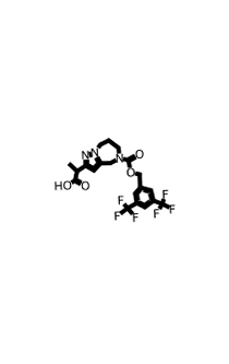 CC(C(=O)O)c1cc2n(n1)CCCN(C(=O)OCc1cc(C(F)(F)F)cc(C(F)(F)F)c1)C2